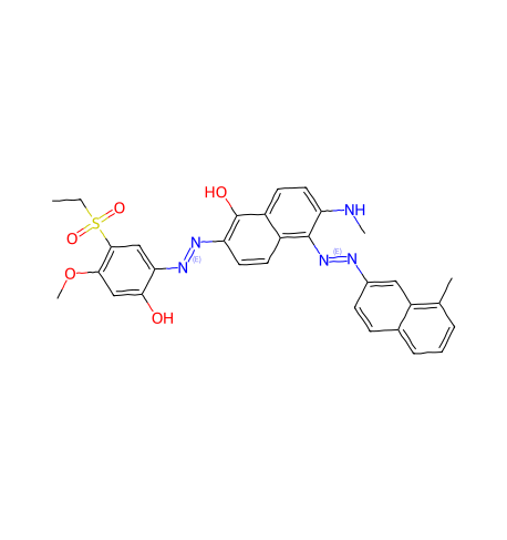 CCS(=O)(=O)c1cc(/N=N/c2ccc3c(/N=N/c4ccc5cccc(C)c5c4)c(NC)ccc3c2O)c(O)cc1OC